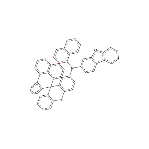 c1ccc2c(c1)Sc1ccc(N(c3ccc4c(c3)oc3ccccc34)c3cccc4ccccc34)cc1C21c2ccccc2-c2cccc3cccc1c23